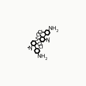 CN(C)c1ccc(Sc2ccc(N(C)C)c(-c3ccc(N)cc3Cl)c2Cl)c(Cl)c1-c1ccc(N)cc1Cl